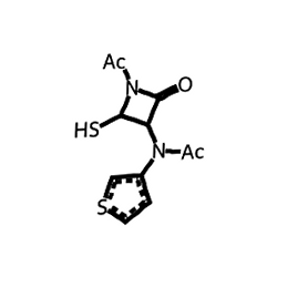 CC(=O)N1C(=O)C(N(C(C)=O)c2ccsc2)C1S